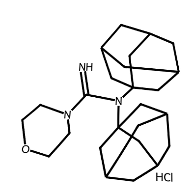 Cl.N=C(N1CCOCC1)N(C12CC3CC(CC(C3)C1)C2)C12CC3CC(CC(C3)C1)C2